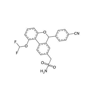 N#Cc1ccc(C2Oc3cccc(OC(F)F)c3-c3ccc(CS(N)(=O)=O)cc32)cc1